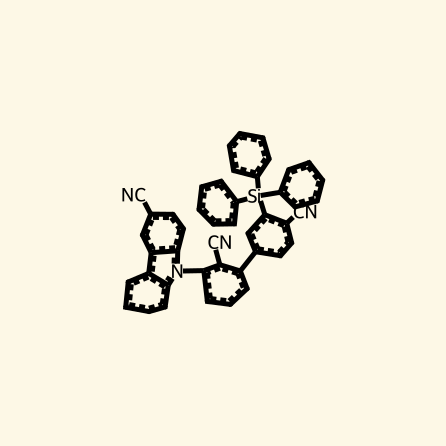 N#Cc1ccc2c(c1)c1ccccc1n2-c1cccc(-c2ccc(C#N)c([Si](c3ccccc3)(c3ccccc3)c3ccccc3)c2)c1C#N